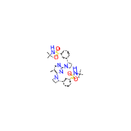 Cc1cnc(N2CCC2c2cccc(S(=O)(=O)NC(C)(C)C)c2)nc1N1CCC1c1cccc(S(=O)(=O)NC(C)(C)C)c1